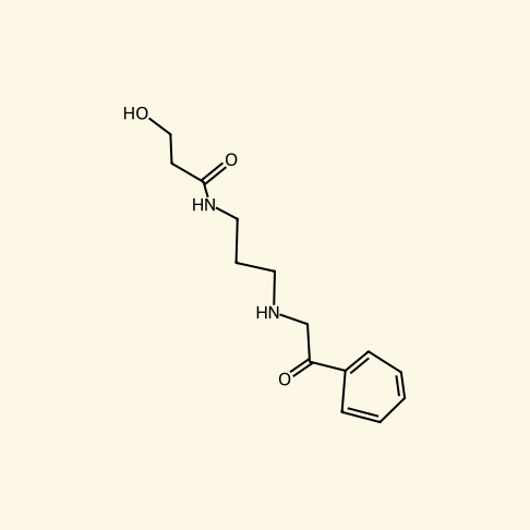 O=C(CCO)NCCCNCC(=O)c1ccccc1